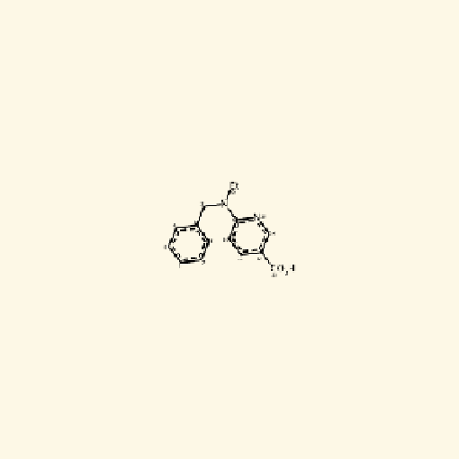 CCN(Cc1ccccc1)c1ccc(C(=O)O)cn1